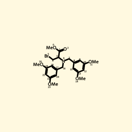 COC(=O)C(CBr)N(Cc1cc(OC)cc(OC)c1)Cc1cc(OC)cc(OC)c1